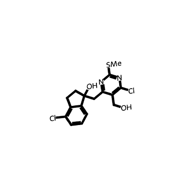 CSc1nc(Cl)c(CO)c(CC2(O)CCc3c(Cl)cccc32)n1